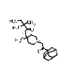 CCC(C)(C)C(=O)OC1(C)CC[S+](CC(=O)C23CC4CC(CC(C4)C2)C3)CC1